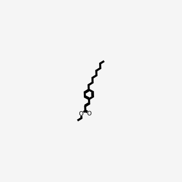 CCCCCCCCc1ccc(C=CC(=O)OCC)cc1